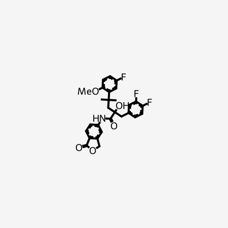 COc1ccc(F)cc1C(C)(C)CC(O)(Cc1ccc(F)c(F)c1)C(=O)Nc1ccc2c(c1)COC2=O